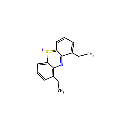 CCc1cccc2[s+]c3cccc(CC)c3nc12.[I-]